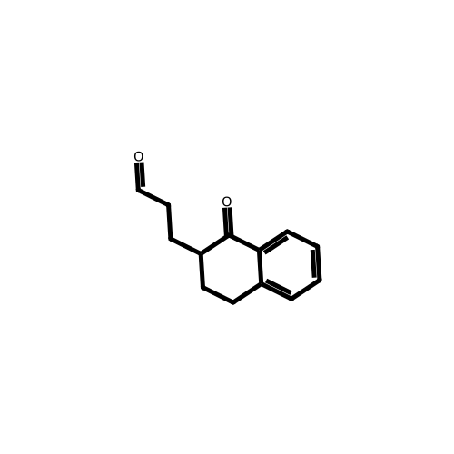 O=CCCC1CCc2ccccc2C1=O